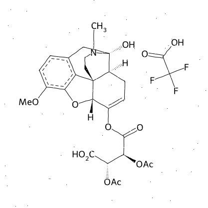 COc1ccc2c3c1O[C@H]1C(OC(=O)[C@@H](OC(C)=O)[C@H](OC(C)=O)C(=O)O)=CC[C@H]4[C@@]31CCN(C)[C@@]4(O)C2.O=C(O)C(F)(F)F